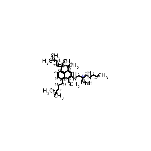 C=Cc1c(NC/C(=C/NCCC)N=N)cc(C(=C)NC)c2c(CCCN(C)C)ccc(CCCN(C)C)c12